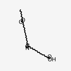 CCCCCCCCOC(=O)CCCCCCCCCCCCCCCCCN1CCN=C1CCCCCCCCCCCCCCCCC(=O)O